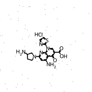 Cl.Nc1cc(N2CCC(N)C2)nc2c1c(=O)c(C(=O)O)cn2-c1nccs1